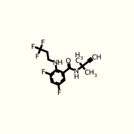 C#CC(C)(C)NC(=O)c1cc(F)cc(F)c1NCCC(F)(F)F